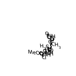 C=C1/C(=C\C=C(/C)Oc2ccnc3c2CCC(=O)N3)O[C@@H]2[C@@H](NC(=O)Nc3ccc(OC)cc3Cl)[C@H]12